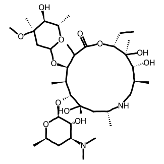 CC[C@H]1OC(=O)C(C)[C@H](OC2C[C@@](C)(OC)[C@@H](O)[C@H](C)O2)[C@H](C)[C@@H](O[C@@H]2O[C@H](C)C[C@H](N(C)C)[C@H]2O)[C@@](C)(O)C[C@@H](C)NC[C@H](C)[C@@H](O)[C@]1(C)O